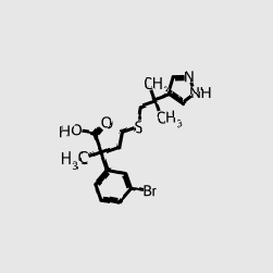 CC(C)(CSCCC(C)(C(=O)O)c1cccc(Br)c1)c1cn[nH]c1